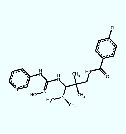 CN(C)C(NC(=NC#N)Nc1cccnc1)C(C)(C)CNC(=O)c1ccc(Cl)cc1